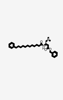 CN(C)C[C@@H](CC(=O)OCc1ccccc1)NC(=O)CCCCCCCCCCCc1ccccc1